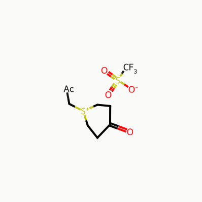 CC(=O)C[S+]1CCC(=O)CC1.O=S(=O)([O-])C(F)(F)F